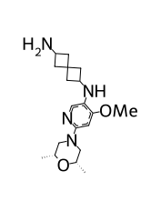 COc1cc(N2C[C@@H](C)O[C@@H](C)C2)ncc1NC1CC2(CC(N)C2)C1